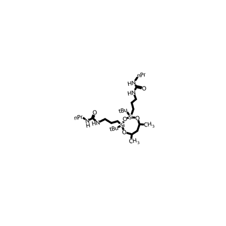 CCCNC(=O)NCCC[Si]1(C(C)(C)C)OC(C)CC(C)O[Si](CCCNC(=O)NCCC)(C(C)(C)C)O1